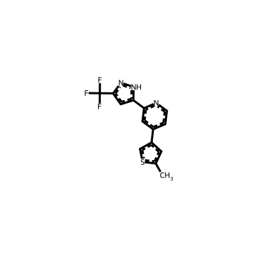 Cc1cc(-c2ccnc(-c3cc(C(F)(F)F)n[nH]3)c2)cs1